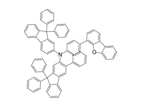 c1ccc(-c2cc3c(cc2N(c2ccc(-c4cccc5c4oc4ccccc45)cc2)c2ccc4c(c2)C(c2ccccc2)(c2ccccc2)c2ccccc2-4)C(c2ccccc2)(c2ccccc2)c2ccccc2-3)cc1